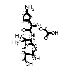 CC1(C)[C@H](NC(=O)/C(=N\OCC(=O)O)c2csc(N)n2)C(=O)N1OC(CO)C(=O)O